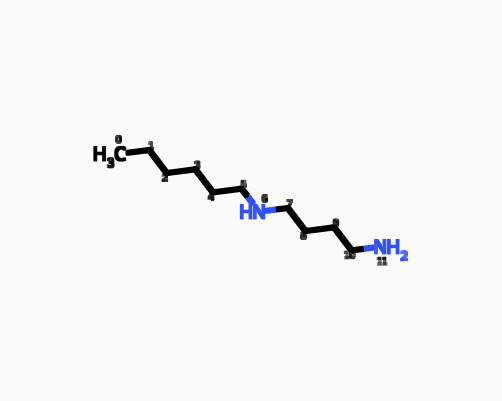 CCCCCCNCCCCN